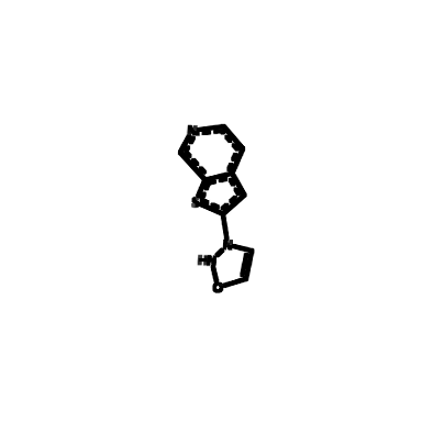 C1=CN(c2cc3ccncc3s2)NO1